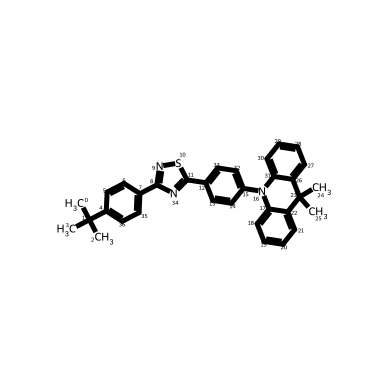 CC(C)(C)c1ccc(-c2nsc(-c3ccc(N4c5ccccc5C(C)(C)c5ccccc54)cc3)n2)cc1